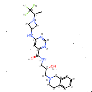 C[C@@H](N1CC(Nc2cc(C(=O)NC[C@H](O)CN3CCc4ccccc4C3)ncn2)C1)C(F)(F)F